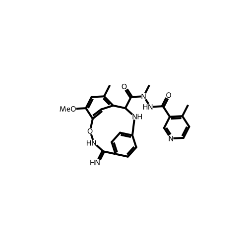 COc1cc(C)c2cc1ONC(=N)c1ccc(cc1)NC2C(=O)N(C)NC(=O)c1cnccc1C